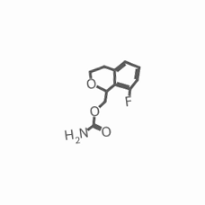 NC(=O)OCC1OCCc2cccc(F)c21